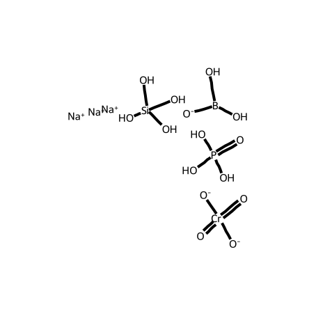 O=P(O)(O)O.O[Si](O)(O)O.[Na+].[Na+].[Na+].[O-]B(O)O.[O]=[Cr](=[O])([O-])[O-]